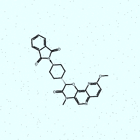 COc1ccc2ncc3c(c2n1)OC([C@H]1CC[C@H](N2C(=O)c4ccccc4C2=O)CC1)C(=O)N3C